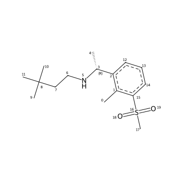 Cc1c([C@@H](C)NCCC(C)(C)C)cccc1S(C)(=O)=O